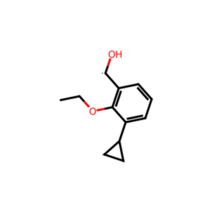 CCOc1c([CH]O)cccc1C1CC1